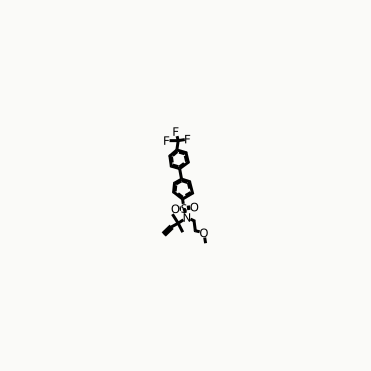 C#CC(C)(C)N(CCOC)S(=O)(=O)c1ccc(-c2ccc(C(F)(F)F)cc2)cc1